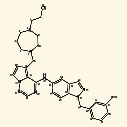 N#CCCN1CCCN(Cc2ccn3ncnc(Nc4ccc5c(cnn5Cc5cccc(F)c5)c4)c23)CC1